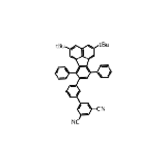 CC(C)(C)c1cc2c3c(cc(C(C)(C)C)cc3c1)-c1c(-c3ccccc3)c(-c3cccc(-c4cc(C#N)cc(C#N)c4)c3)cc(-c3ccccc3)c1-2